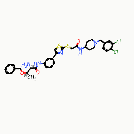 C[C@@H](OCc1ccccc1)[C@H](N)C(=O)Nc1cccc(-c2csc(SCC(=O)NC3CCN(Cc4ccc(Cl)c(Cl)c4)CC3)n2)c1